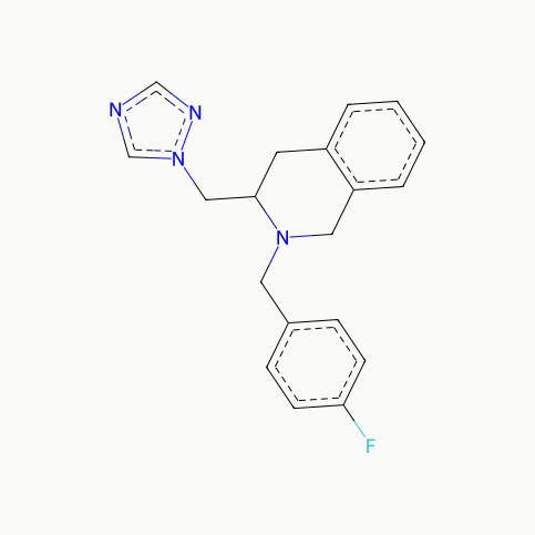 Fc1ccc(CN2Cc3ccccc3CC2Cn2cncn2)cc1